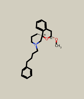 CO[C@H]1Cc2ccccc2[C@@]2(CCCN(CCCCc3ccccc3)C2)O1